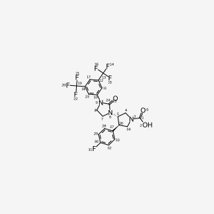 O=C(O)N1C[C@@H](N2CCN(c3cc(C(F)(F)F)cc(C(F)(F)F)c3)C2=O)[C@H](c2ccc(F)cc2)C1